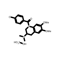 COc1cc2c(cc1OC)N(C(=O)c1ccc(Cl)cc1)CC(N(C)C)C2.O=S(=O)(O)O